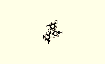 Cc1cc(Cl)cc(C)c1OC(c1cncc(F)c1)[C@H]1CCNC1